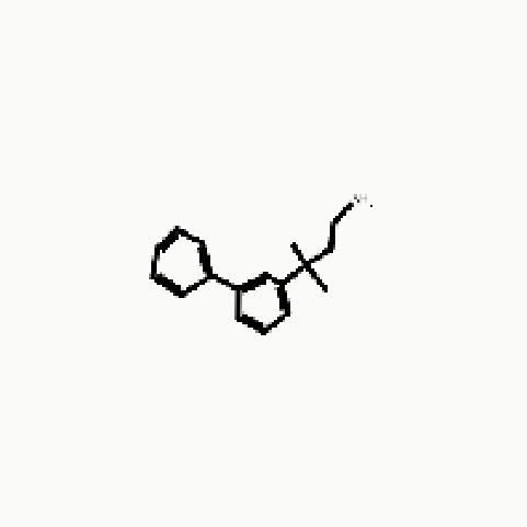 CC(C)(CCN)c1cccc(-c2ccccc2)c1